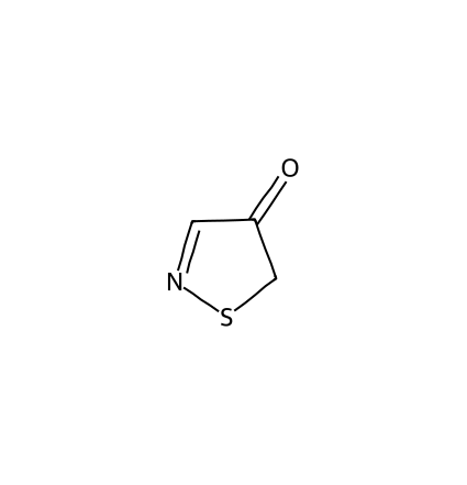 O=C1C=NSC1